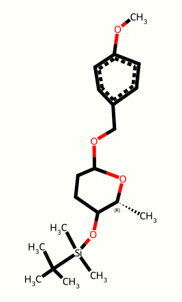 COc1ccc(COC2CCC(O[Si](C)(C)C(C)(C)C)[C@@H](C)O2)cc1